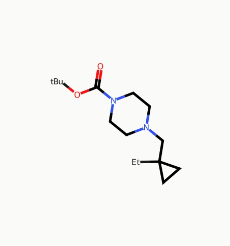 CCC1(CN2CCN(C(=O)OC(C)(C)C)CC2)CC1